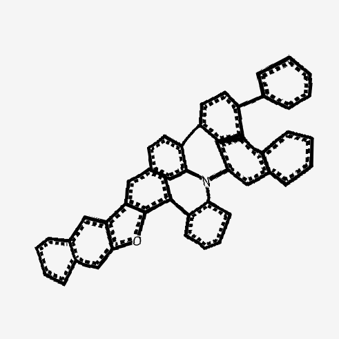 c1ccc(-c2ccc(-c3ccccc3N(c3ccc4ccccc4c3)c3ccccc3-c3cccc4c3oc3cc5ccccc5cc34)cc2)cc1